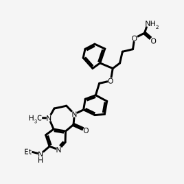 CCNc1cc2c(cn1)C(=O)N(c1cccc(COC(CCCOC(N)=O)c3ccccc3)c1)CCN2C